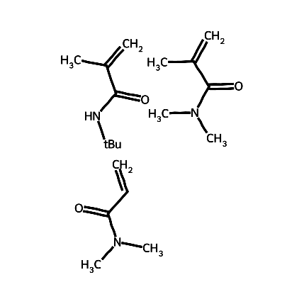 C=C(C)C(=O)N(C)C.C=C(C)C(=O)NC(C)(C)C.C=CC(=O)N(C)C